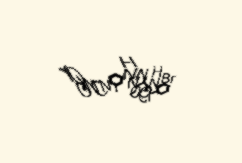 COc1nc(Nc2ccc(N3CCCN(C(=O)OC(C)(C)C)CC3)c(C)c2)ncc1C(=O)Nc1c(Cl)cccc1Br